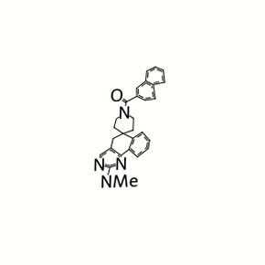 CNc1ncc2c(n1)-c1ccccc1C1(CCN(C(=O)c3ccc4ccccc4c3)CC1)C2